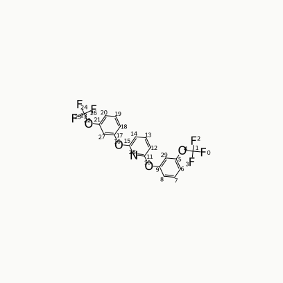 FC(F)(F)Oc1cccc(Oc2cccc(Oc3cccc(OC(F)(F)F)c3)n2)c1